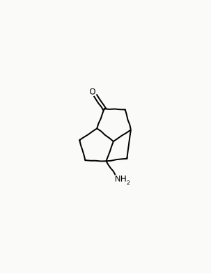 NC12CCC3C(=O)CC(C1)C32